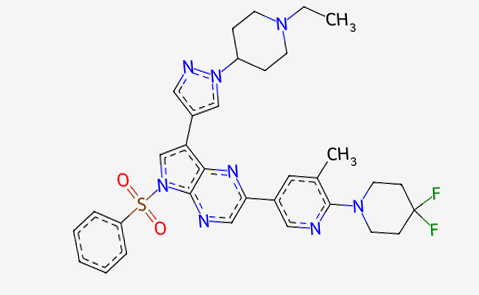 CCN1CCC(n2cc(-c3cn(S(=O)(=O)c4ccccc4)c4ncc(-c5cnc(N6CCC(F)(F)CC6)c(C)c5)nc34)cn2)CC1